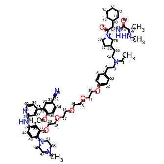 CCN(CCc1ccc(OCCOCCOCCOCCOc2cc(Nc3cc(-c4cc(C#N)ccc4OC)ccn3)ccc2N2CCN(C)CC2)cc1)CCC1CCN(C(=O)[C@@H](NC(=O)[C@H](C)NC)C2CCCCC2)C1